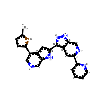 Cc1ccc(-c2cncc3[nH]c(-c4n[nH]c5cnc(-c6ccccn6)cc45)cc23)s1